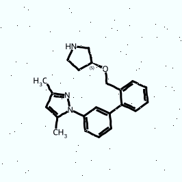 Cc1cc(C)n(-c2cccc(-c3ccccc3CO[C@H]3CCNC3)c2)n1